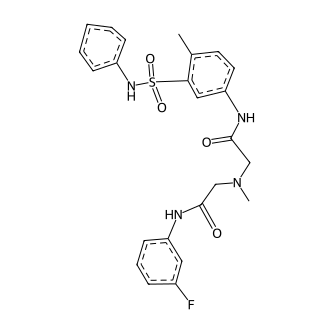 Cc1ccc(NC(=O)CN(C)CC(=O)Nc2cccc(F)c2)cc1S(=O)(=O)Nc1ccccc1